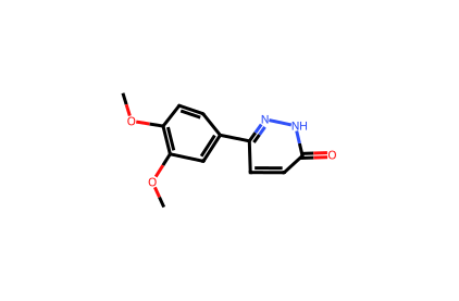 COc1ccc(-c2ccc(=O)[nH]n2)cc1OC